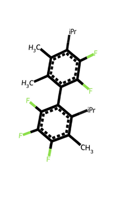 Cc1c(C)c(C(C)C)c(F)c(F)c1-c1c(F)c(F)c(F)c(C)c1C(C)C